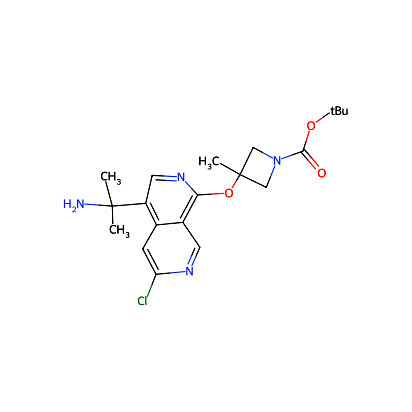 CC(C)(C)OC(=O)N1CC(C)(Oc2ncc(C(C)(C)N)c3cc(Cl)ncc23)C1